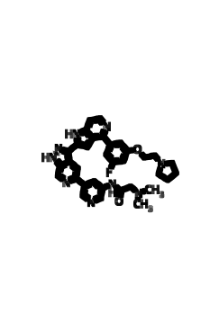 CN(C)CC(=O)Nc1cncc(-c2cc3c(-c4cc5c(-c6cc(F)cc(OCCN7CCCC7)c6)nccc5[nH]4)n[nH]c3cn2)c1